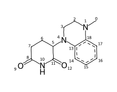 CN1CCN(C2CCC(=O)NC2=O)c2ccccc21